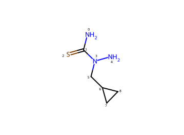 NC(=S)N(N)CC1CC1